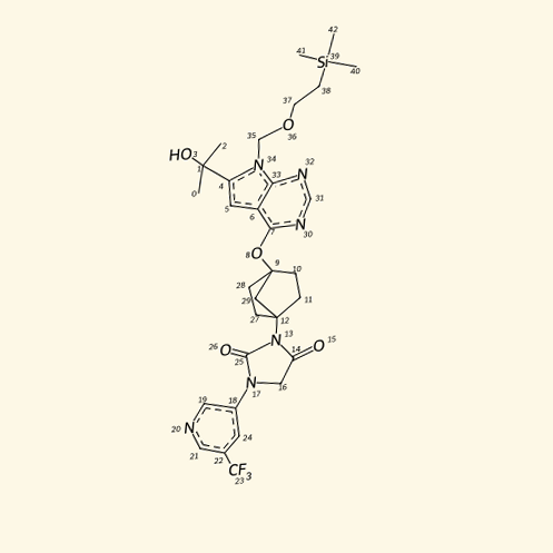 CC(C)(O)c1cc2c(OC34CCC(N5C(=O)CN(c6cncc(C(F)(F)F)c6)C5=O)(CC3)C4)ncnc2n1COCC[Si](C)(C)C